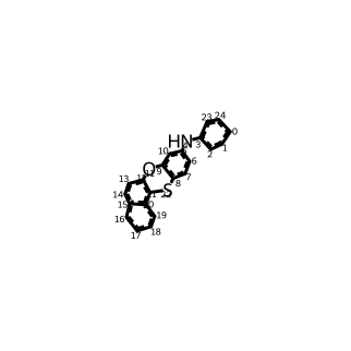 c1ccc(Nc2ccc3c(c2)Oc2ccc4ccccc4c2S3)cc1